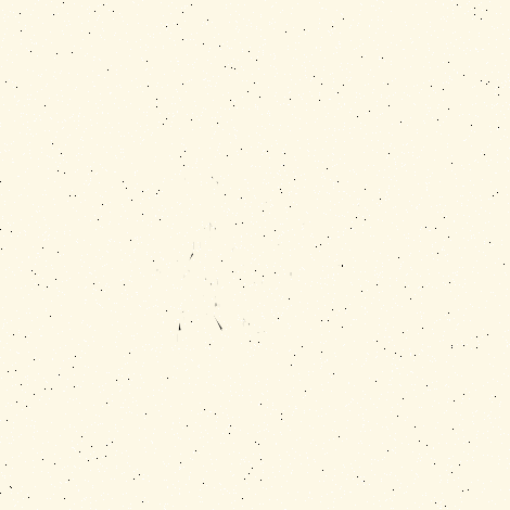 CN(C)c1nc(C(=O)N2[C@H]3CC[C@H](C3)[C@@H]2CN)c(-c2cccc(C(F)(F)F)c2)s1